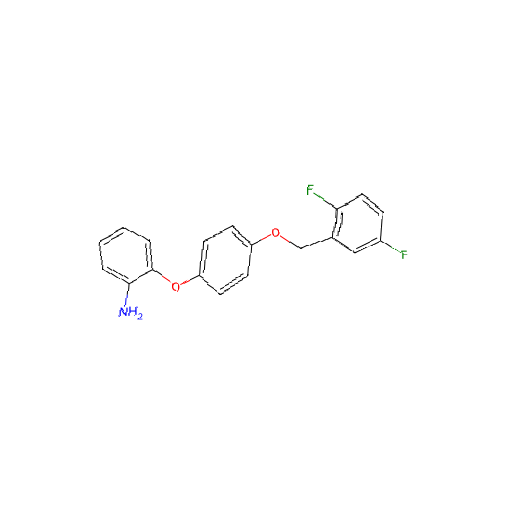 Nc1ccccc1Oc1ccc(OCc2cc(F)ccc2F)cc1